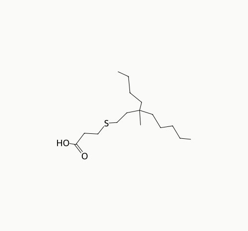 CCCCCC(C)(CCCC)CCSCCC(=O)O